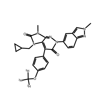 [2H]C([2H])([2H])Oc1ccc(-c2c(=O)n(-c3ccc4nn(C)cc4c3)nc3c2n(CC2CC2)c(=O)n3C)cc1